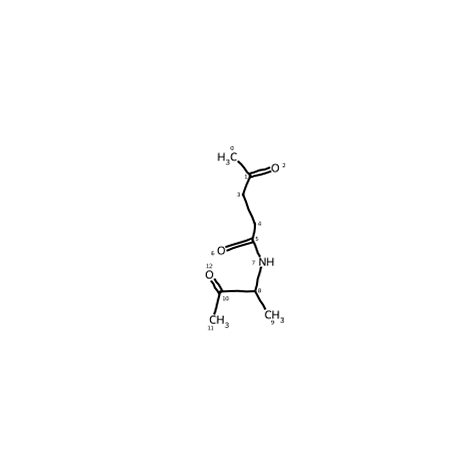 CC(=O)CCC(=O)NC(C)C(C)=O